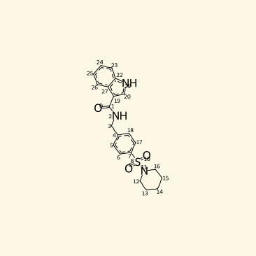 O=C(NCc1ccc(S(=O)(=O)N2CCCCC2)cc1)c1c[nH]c2ccccc12